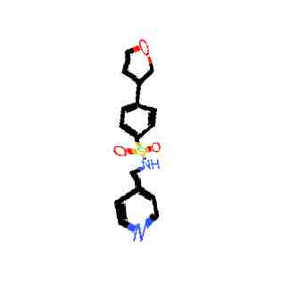 O=S(=O)(NCc1ccncc1)c1ccc(C2CCOC2)cc1